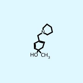 CC1(O)C=CC(CN2CCCCC2)=CC1